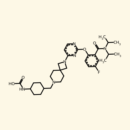 CC(C)N(C(=O)c1cc(F)ccc1Oc1nccc(N2CC3(CCN(CC4CCC(NC(=O)O)CC4)CC3)C2)n1)C(C)C